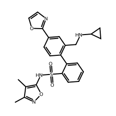 Cc1noc(NS(=O)(=O)c2ccccc2-c2ccc(-c3ncco3)cc2CNC2CC2)c1C